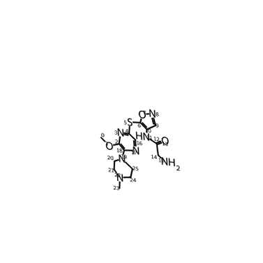 COc1nc(Sc2oncc2NC(=O)CN)cnc1N1CCN(C)CC1